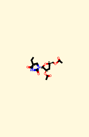 CCc1cn([C@@H]2O[C@@H](COC(C)=O)C[C@H]2OC(C)=O)c(=O)[nH]c1=O